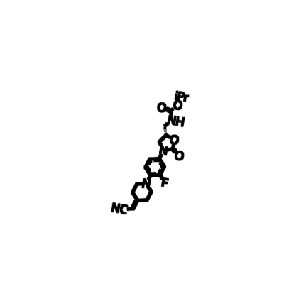 CC(C)OC(=O)NC[C@H]1CN(c2ccc(N3CCC(=CC#N)CC3)c(F)c2)C(=O)O1